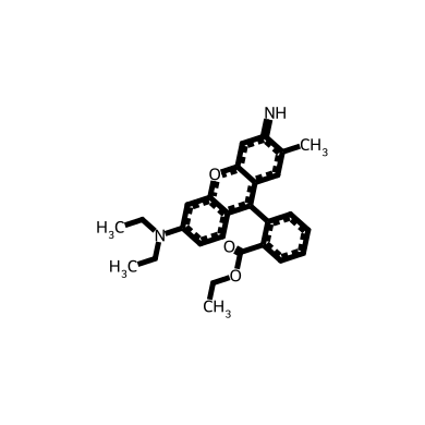 CCOC(=O)c1ccccc1-c1c2cc(C)c(=N)cc-2oc2cc(N(CC)CC)ccc12